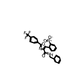 O=C(NCc1ccccc1)c1nc(-c2ccc(C(F)(F)F)cc2)oc1-c1ccccc1[N+](=O)[O-]